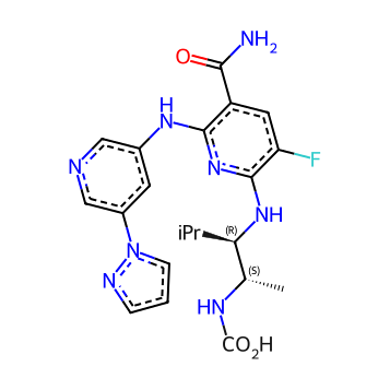 CC(C)[C@@H](Nc1nc(Nc2cncc(-n3cccn3)c2)c(C(N)=O)cc1F)[C@H](C)NC(=O)O